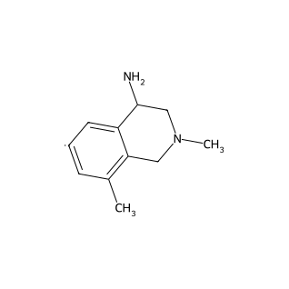 Cc1c[c]cc2c1CN(C)CC2N